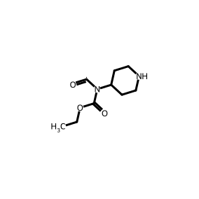 CCOC(=O)N([C]=O)C1CCNCC1